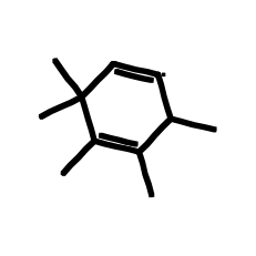 CC1=C(C)C(C)(C)C=[C]C1C